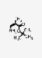 CC(=CN)C(=O)OC(C)(C)C